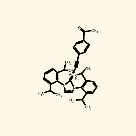 CC(=O)c1ccc(C#[C][Au]=[c]2n(-c3c(C(C)C)cccc3C(C)C)ccn2-c2c(C(C)C)cccc2C(C)C)cc1